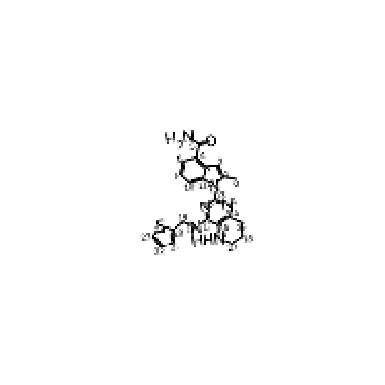 Cc1cc2c(C(N)=O)cccc2n1-c1nc2c(c(NCc3cccs3)n1)NCCC2